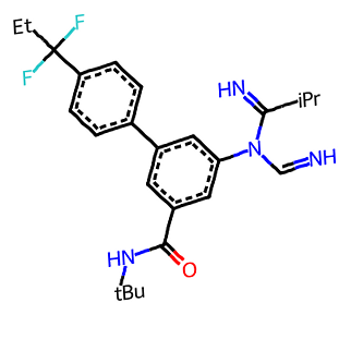 CCC(F)(F)c1ccc(-c2cc(C(=O)NC(C)(C)C)cc(N(C=N)C(=N)C(C)C)c2)cc1